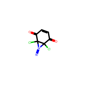 [N-]=[N+]1C2(Cl)C(=O)C=CC(=O)C12Cl